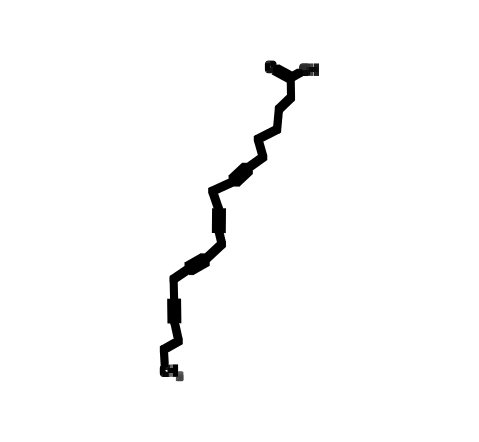 CCCC#CCC#CCC#CCC#CCCCCCC(=O)O